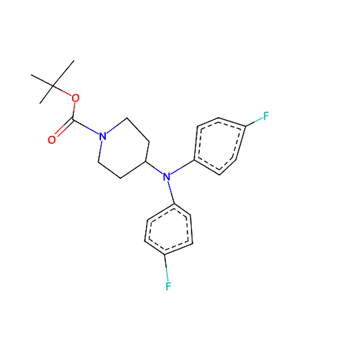 CC(C)(C)OC(=O)N1CCC(N(c2ccc(F)cc2)c2ccc(F)cc2)CC1